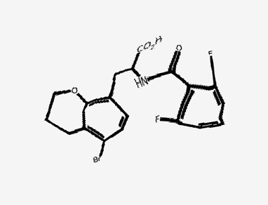 O=C(NC(Cc1ccc(Br)c2c1OCCC2)C(=O)O)c1c(F)cccc1F